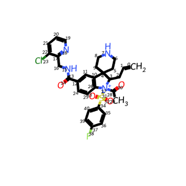 C=CCC1C2(CCNCC2)c2cc(C(=O)NCc3ncccc3Cl)ccc2[N+]1(C(C)=O)S(=O)(=O)c1ccc(F)cc1